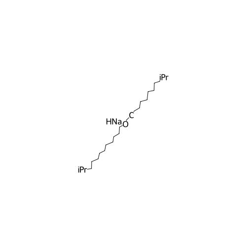 CC(C)CCCCCCCCCCOCCCCCCCCCCC(C)C.[NaH]